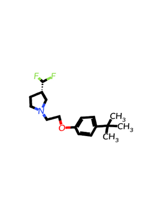 CC(C)(C)c1ccc(OCCN2CC[C@H](C(F)F)C2)cc1